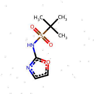 CC(C)(C)S(=O)(=O)Nc1ncco1